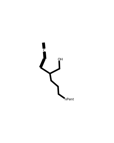 C=C=C=CC(CO)CCCCCCCC